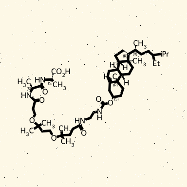 CCC(CC[C@@H](C)[C@H]1CC[C@H]2[C@@H]3CC=C4C[C@@H](OC(=O)NCCNC(=O)CCC(C)(C)OCCC(C)(C)OCCC(=O)N[C@@H](C)C(=O)N[C@@H](C)C(=O)O)CC[C@]4(C)[C@H]3CC[C@]12C)C(C)C